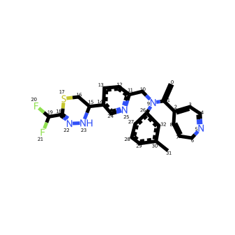 C=C(C1=CC=NCC=C1)N(Cc1ccc(C2CSC(C(F)F)=NN2)cn1)c1cccc(C)c1